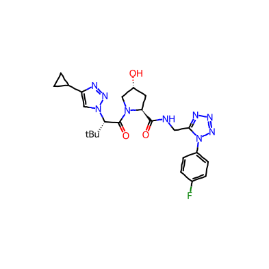 CC(C)(C)[C@@H](C(=O)N1C[C@H](O)C[C@H]1C(=O)NCc1nnnn1-c1ccc(F)cc1)n1cc(C2CC2)nn1